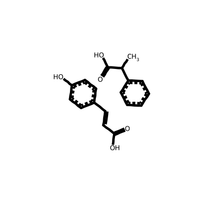 CC(C(=O)O)c1ccccc1.O=C(O)/C=C/c1ccc(O)cc1